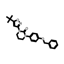 CC(C)(C)c1cc(N2CCCN(c3ccc(OCc4ccccc4)cc3)C2=O)no1